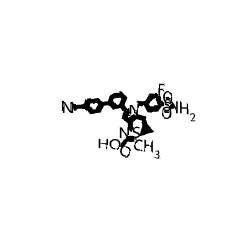 Cc1sc(-c2cc(-c3cccc(-c4ccc(C#N)cc4)c3)n(Cc3ccc(S(N)(=O)=O)c(F)c3)c2CC2CC2)nc1C(=O)O